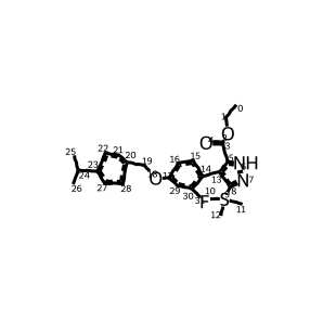 CCOC(=O)c1[nH]nc(S(C)(C)C)c1-c1ccc(OCc2ccc(C(C)C)cc2)cc1F